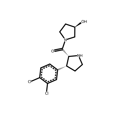 O=C([C@@H]1NCC[C@@H]1c1ccc(Cl)c(Cl)c1)N1CC[C@@H](O)C1